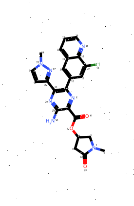 CN1CC(OC(=O)c2nc(-c3cc(Cl)c4ncccc4c3)c(-c3ccn(C)n3)nc2N)CC1=O